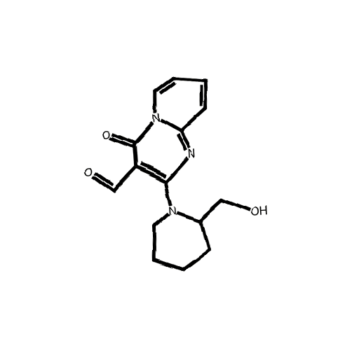 O=Cc1c(N2CCCCC2CO)nc2ccccn2c1=O